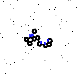 c1ccc(-c2cc3c(-c4cccc(-c5ccc6ccc7cccnc7c6n5)n4)cccc3c3c2c(-c2ccccc2)nn3-c2ccccc2)cc1